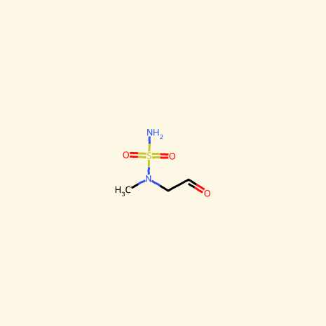 CN(CC=O)S(N)(=O)=O